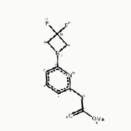 COC(=O)Cc1cccc(N2CC(F)(F)C2)n1